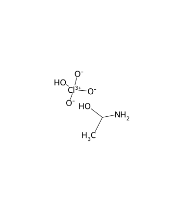 CC(N)O.[O-][Cl+3]([O-])([O-])O